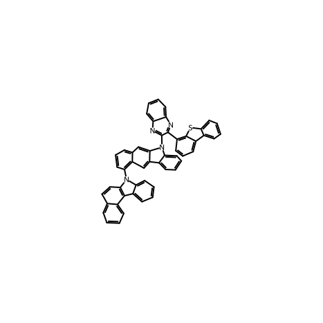 c1cc(-n2c3ccccc3c3c4ccccc4ccc32)c2cc3c4ccccc4n(-c4nc5ccccc5nc4-c4cccc5c4sc4ccccc45)c3cc2c1